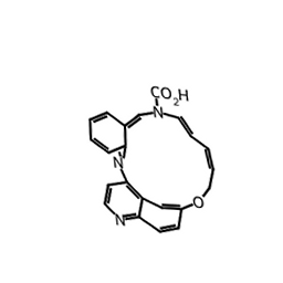 O=C(O)N1/C=c2/cccc/c2=N\c2ccnc3ccc(cc23)OC/C=C\C=C\1